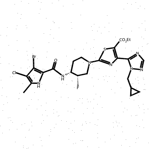 CCOC(=O)c1sc(N2CC[C@@H](NC(=O)c3[nH]c(C)c(Cl)c3Br)[C@@H](F)C2)nc1-c1ncnn1CC1CC1